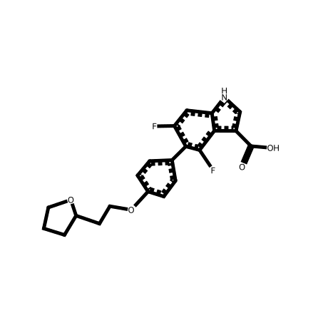 O=C(O)c1c[nH]c2cc(F)c(-c3ccc(OCCC4CCCO4)cc3)c(F)c12